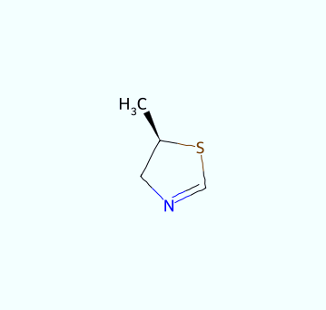 C[C@@H]1CN=CS1